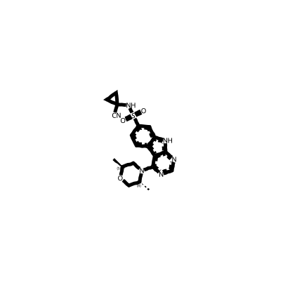 C[C@@H]1CO[C@@H](C)CN1c1ncnc2[nH]c3cc(S(=O)(=O)NC4(C#N)CC4)ccc3c12